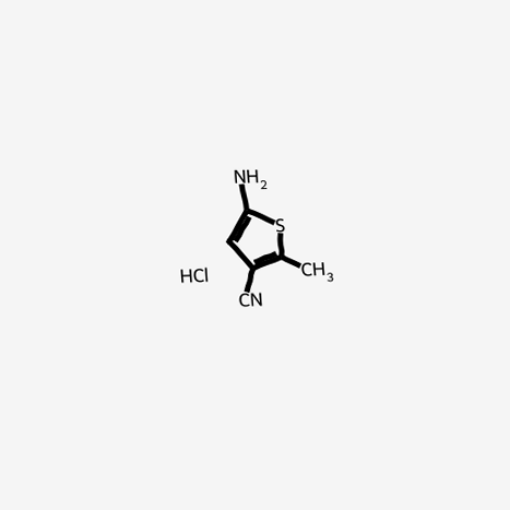 Cc1sc(N)cc1C#N.Cl